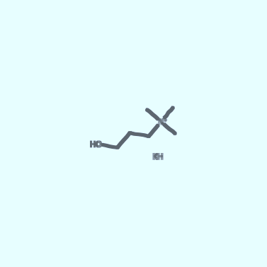 C[N+](C)(C)CCCO.[KH]